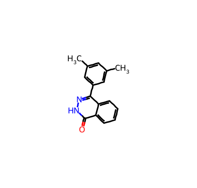 Cc1cc(C)cc(-c2n[nH]c(=O)c3ccccc23)c1